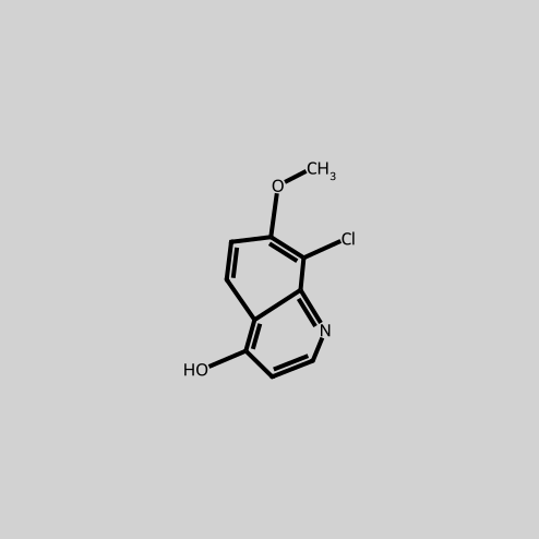 COc1ccc2c(O)ccnc2c1Cl